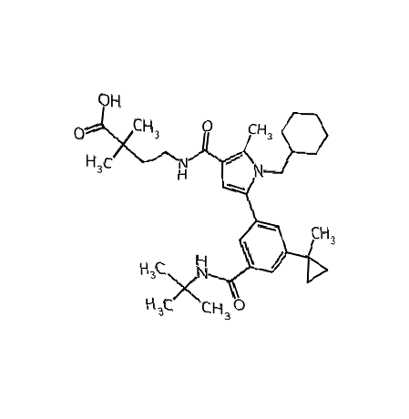 Cc1c(C(=O)NCCC(C)(C)C(=O)O)cc(-c2cc(C(=O)NC(C)(C)C)cc(C3(C)CC3)c2)n1CC1CCCCC1